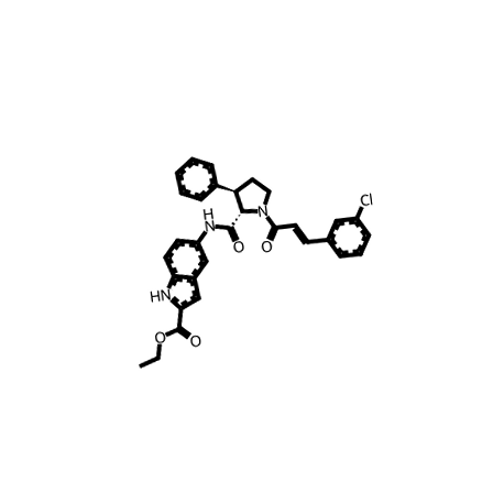 CCOC(=O)c1cc2cc(NC(=O)[C@@H]3[C@@H](c4ccccc4)CCN3C(=O)/C=C/c3cccc(Cl)c3)ccc2[nH]1